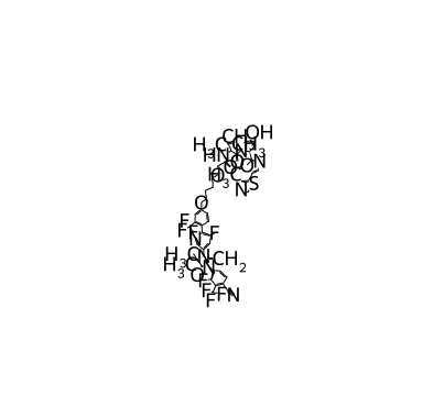 C=C1N(c2ccc(C#N)c(C(F)(F)F)c2F)C(=O)C(C)(C)N1c1cnc(-c2ccc(OCCCCOCC(=O)N[C@H](C(=O)N3C[C@H](O)C[C@H]3c3ncc(-c4scnc4C)o3)C(C)(C)C)cc2C(F)(F)F)c(F)c1